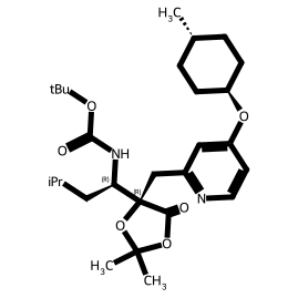 CC(C)C[C@@H](NC(=O)OC(C)(C)C)[C@@]1(Cc2cc(O[C@H]3CC[C@H](C)CC3)ccn2)OC(C)(C)OC1=O